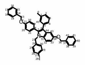 Cc1cccc(-c2c(-c3ccc(OCc4ccccc4)cc3)n(Cc3ccc(I)cc3)c3ccc(OCc4ccccc4)cc23)c1